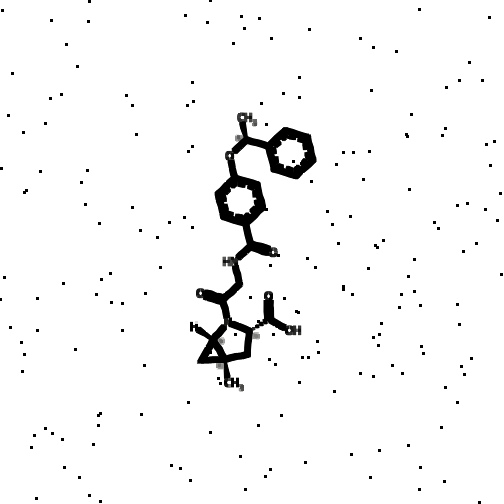 C[C@H](Oc1ccc(C(=O)NCC(=O)N2[C@H]3C[C@@]3(C)C[C@H]2C(=O)O)cc1)c1ccccc1